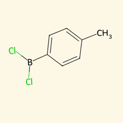 Cc1ccc(B(Cl)Cl)cc1